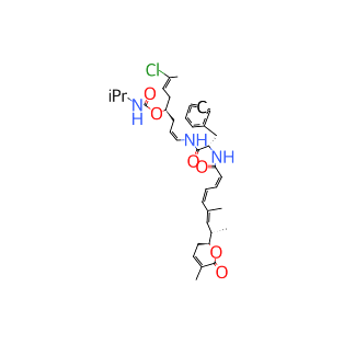 CC1=CC[C@@H]([C@@H](C)/C=C(C)/C=C\C=C/C(=O)N[C@@H](Cc2ccccc2)C(=O)N/C=C\C[C@H](C/C=C(\C)Cl)OC(=O)NC(C)C)OC1=O